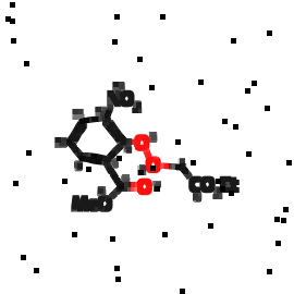 CCOC(=O)COOc1c(C(=O)OC)cccc1[N+](=O)[O-]